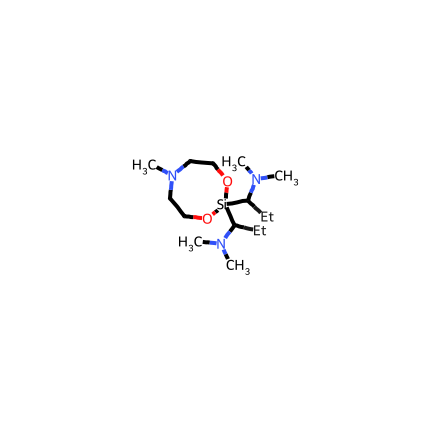 CCC(N(C)C)[Si]1(C(CC)N(C)C)OCCN(C)CCO1